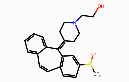 [O-][S+](c1ccc2c(c1)C(=C1CCN(CCO)CC1)c1ccccc1C=C2)C(F)(F)F